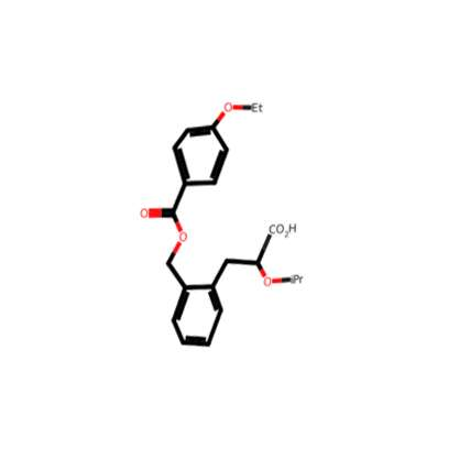 CCOc1ccc(C(=O)OCc2ccccc2CC(OC(C)C)C(=O)O)cc1